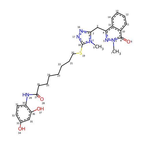 Cn1c(Cc2nn(C)c(=O)c3ccccc23)nnc1SCCCCCCCC(=O)Nc1ccc(O)cc1O